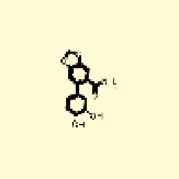 NC(=O)c1cc2c(cc1C1=CC[C@@H](O)[C@@H](O)C1)OCO2